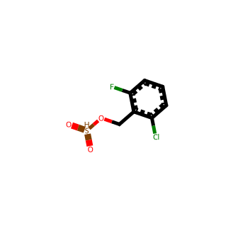 O=[SH](=O)O[CH]c1c(F)cccc1Cl